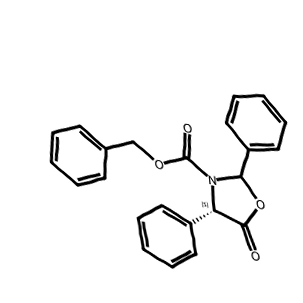 O=C1OC(c2ccccc2)N(C(=O)OCc2ccccc2)[C@H]1c1ccccc1